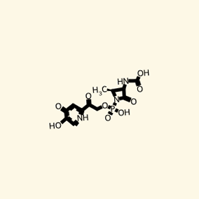 C[C@H]1C(NC(=O)O)C(=O)N1P(=O)(O)OCC(=O)c1cc(=O)c(O)c[nH]1